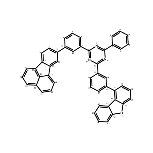 c1ccc(-c2nc(-c3cccc(-c4ccc5c(c4)-c4cccc6cccc-5c46)c3)nc(-c3cccc(-c4cccc5oc6ccccc6c45)c3)n2)cc1